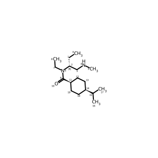 CC[C@H](CNC)N(CC)C(=O)[C@H]1CC[C@@H](C(C)C)CC1